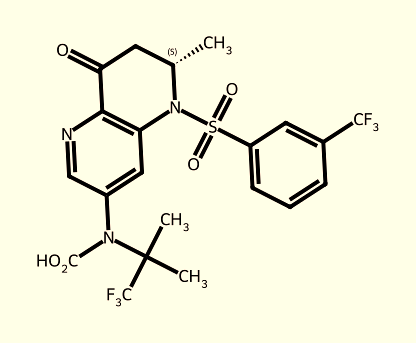 C[C@H]1CC(=O)c2ncc(N(C(=O)O)C(C)(C)C(F)(F)F)cc2N1S(=O)(=O)c1cccc(C(F)(F)F)c1